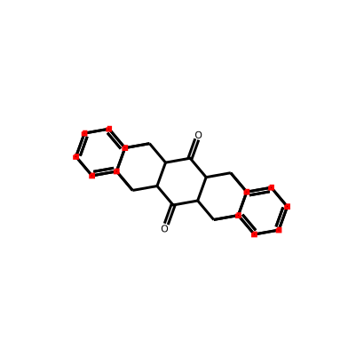 O=C1C2C3c4ccccc4C(c4ccccc43)C2C(=O)C2C3c4ccccc4C(c4ccccc43)C12